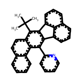 CC(C)(C)c1c2c(c(-c3ccccn3)c3c1ccc1ccccc13)-c1cccc3cccc-2c13